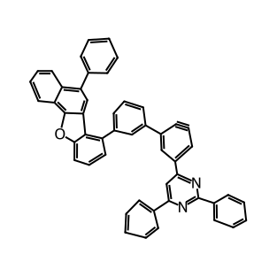 c1cc(-c2cc(-c3ccccc3)nc(-c3ccccc3)n2)cc(-c2cccc(-c3cccc4oc5c6ccccc6c(-c6ccccc6)cc5c34)c2)c#1